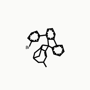 CC1C=C2C3CC(C1)CC3C21c2ccccc2-c2cccc(-c3cccc(Br)c3)c21